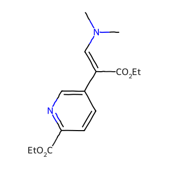 CCOC(=O)/C(=C\N(C)C)c1ccc(C(=O)OCC)nc1